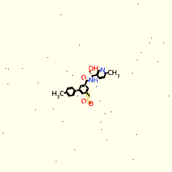 Cc1ccc(-c2cc(C[SH](=O)=O)cc(C(=O)N[C@H](CO)c3ccc(C)nc3)c2)cc1